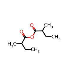 CCC(C)C(=O)OC(=O)C(C)CC